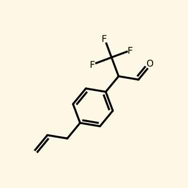 C=CCc1ccc(C(C=O)C(F)(F)F)cc1